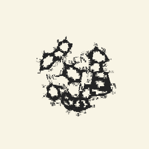 N#Cc1c(-n2c3ccccc3c3ccccc32)c(C#N)c(-n2c3ccccc3c3ccccc32)c(-n2c3ccccc3c3ccc4ccccc4c32)c1-n1c2ccccc2c2ccccc21